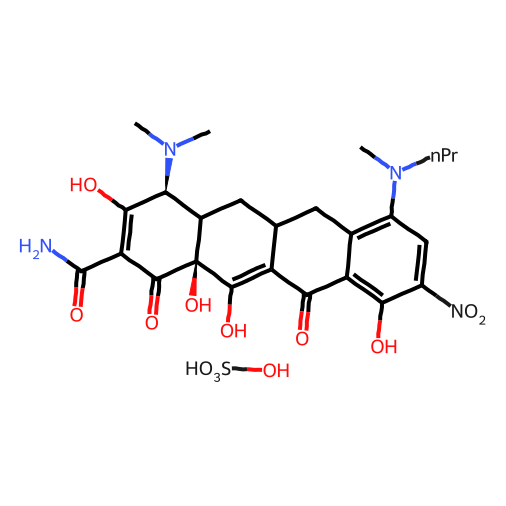 CCCN(C)c1cc([N+](=O)[O-])c(O)c2c1CC1CC3[C@H](N(C)C)C(O)=C(C(N)=O)C(=O)[C@@]3(O)C(O)=C1C2=O.O=S(=O)(O)O